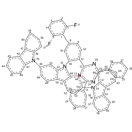 Fc1cccc(F)c1-c1ccc(-c2nc(-c3ccccc3)nc(-c3ccccc3)n2)c(-n2c3cc(-n4c5ccccc5c5ccccc54)ccc3c3ccc(-n4c5ccccc5c5ccccc54)cc32)c1